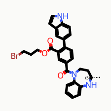 C[C@H]1CCN(C(=O)c2ccc(-c3ccc4[nH]ccc4c3)c(C(=O)OCCCBr)c2)c2ccccc2N1